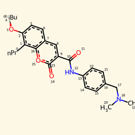 CCCc1c(O[C@H](C)CC)ccc2cc(C(=O)Nc3ccc(CN(C)C)cc3)c(=O)oc12